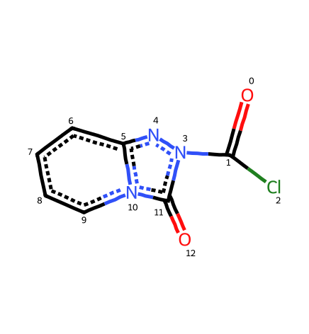 O=C(Cl)n1nc2ccccn2c1=O